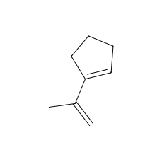 C=C(C)C1=CCCC1